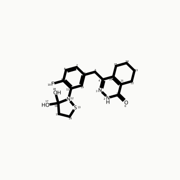 O=c1[nH]nc(Cc2ccc(F)c(N3SCCC3(O)O)c2)c2c1CCCC2